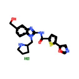 Cl.O=C(Nc1nc2cc(CO)ccc2n1CC1CCCN1)c1ccc(-c2cnco2)s1